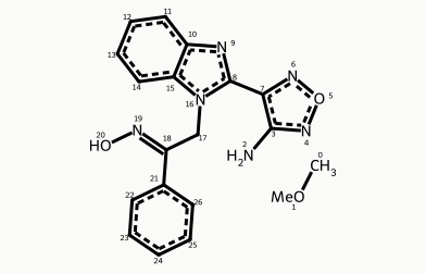 COC.Nc1nonc1-c1nc2ccccc2n1CC(=NO)c1ccccc1